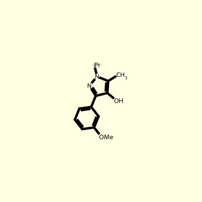 COc1cccc(-c2nn(C(C)C)c(C)c2O)c1